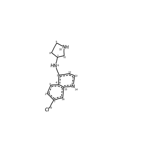 Clc1ccc2c(NC3CCNC3)ccnc2c1